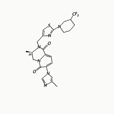 Cc1cn(-c2ccc3n(c2=O)C[C@@H](C)N(Cc2csc(N4CCCC(C(F)(F)F)C4)n2)C3=O)cn1